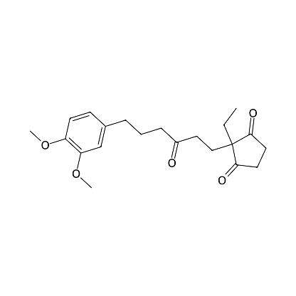 CCC1(CCC(=O)CCCc2ccc(OC)c(OC)c2)C(=O)CCC1=O